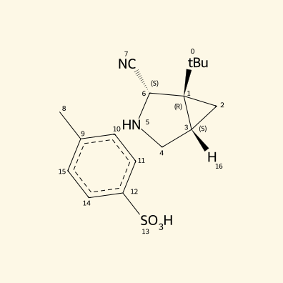 CC(C)(C)[C@@]12C[C@@H]1CN[C@@H]2C#N.Cc1ccc(S(=O)(=O)O)cc1